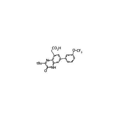 CC(C)(C)c1nc2c(CC(=O)O)cc(-c3cccc(OC(F)(F)F)c3)cc2[nH]c1=O